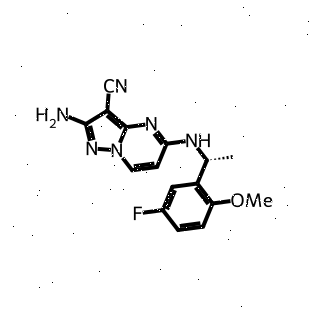 COc1ccc(F)cc1[C@@H](C)Nc1ccn2nc(N)c(C#N)c2n1